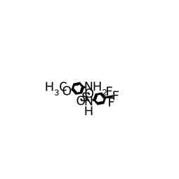 COc1ccc(N)c(S(=O)(=O)Nc2ccc(C(F)(F)F)cc2)c1